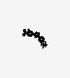 Cc1cc(-n2cnc(-c3ccc(OC(F)(F)F)cc3)n2)ccc1[N+](=O)[O-]